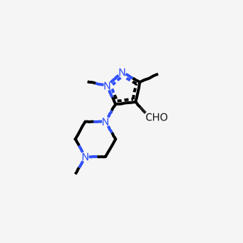 Cc1nn(C)c(N2CCN(C)CC2)c1C=O